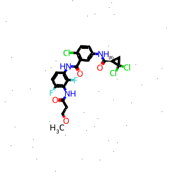 COCCC(=O)Nc1c(F)ccc(NC(=O)c2cc(NC(=O)[C@H]3CC3(Cl)Cl)ccc2Cl)c1F